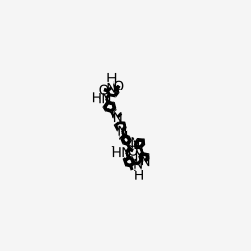 Cc1ccc(NC(=O)c2ccc(N3CCC(N(C)Cc4ccc(NC5CCC(=O)NC5=O)cc4)CC3)cc2)cc1Nc1nccc(-c2cccnc2)n1